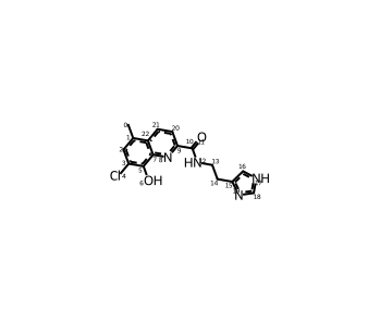 Cc1cc(Cl)c(O)c2nc(C(=O)NCCc3c[nH]cn3)ccc12